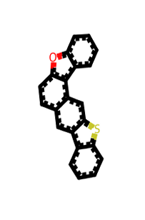 c1ccc2c(c1)oc1ccc3cc4c(cc3c12)sc1ccccc14